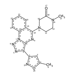 Cc1cc(-c2nnn3c2nc(N2CCN(C)C(=O)C2)c2ccccc23)no1